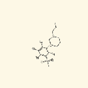 [2H]c1c([2H])c([C@H]2CCCN(CCC)C2)c([2H])c(S(C)(=O)=O)c1[2H]